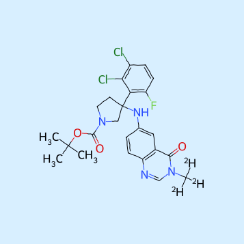 [2H]C([2H])([2H])n1cnc2ccc(NC3(c4c(F)ccc(Cl)c4Cl)CCN(C(=O)OC(C)(C)C)C3)cc2c1=O